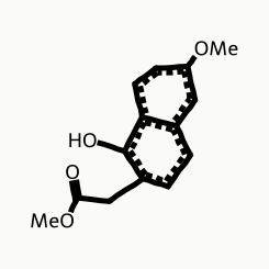 COC(=O)Cc1ccc2cc(OC)ccc2c1O